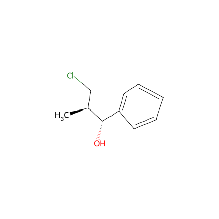 C[C@@H](CCl)[C@@H](O)c1ccccc1